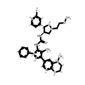 COCCN1C[C@@H](NC(=O)Nc2c(C)c(-c3cnc4c(c3)N(C)CCO4)nn2-c2ccccc2)[C@H](c2ccnc(F)c2)O1